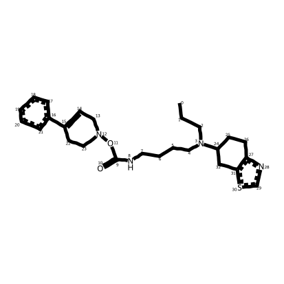 CCCN(CCCCNC(=O)ON1CC=C(c2ccccc2)CC1)C1CCc2ncsc2C1